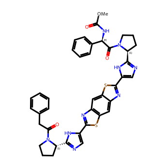 COC(=O)N[C@@H](C(=O)N1CCC[C@H]1c1ncc(-c2nc3cc4sc(-c5cnc([C@@H]6CCCN6C(=O)Cc6ccccc6)[nH]5)nc4cc3s2)[nH]1)c1ccccc1